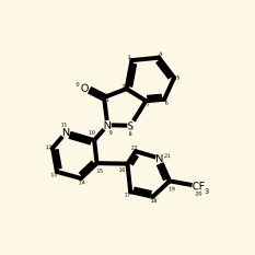 O=c1c2ccccc2sn1-c1ncccc1-c1ccc(C(F)(F)F)nc1